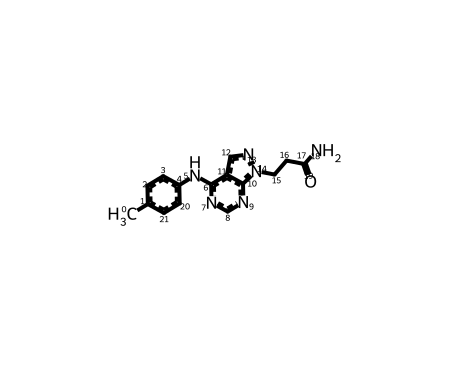 Cc1ccc(Nc2ncnc3c2cnn3CCC(N)=O)cc1